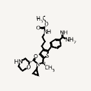 COC(=O)NCCCc1cc([C@@H](C)N(C(=O)[C@H]2CNCCO2)C2CC2)sc1-c1ccc(C(=N)N)cc1